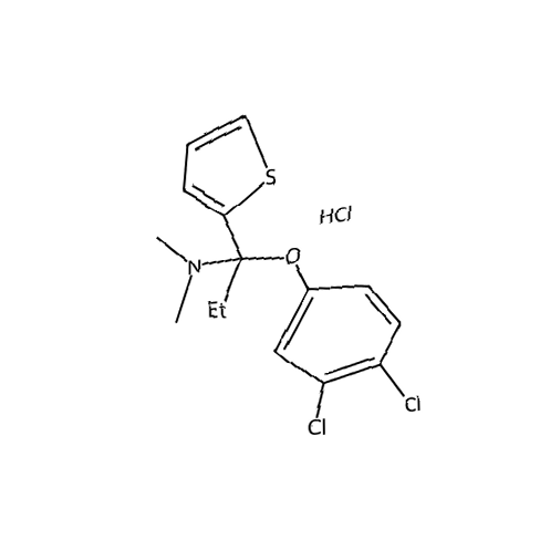 CCC(Oc1ccc(Cl)c(Cl)c1)(c1cccs1)N(C)C.Cl